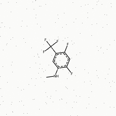 CNc1cc(C(F)(F)F)c(F)cc1F